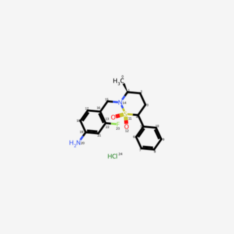 C[C@H]1CCC(c2ccccc2)S(=O)(=O)N1Cc1ccc(N)cc1F.Cl